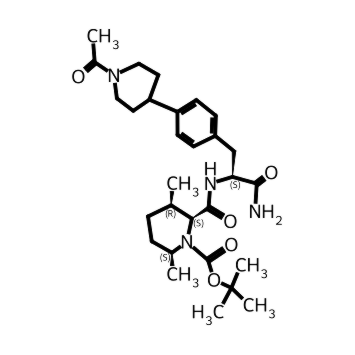 CC(=O)N1CCC(c2ccc(C[C@H](NC(=O)[C@@H]3[C@H](C)CC[C@H](C)N3C(=O)OC(C)(C)C)C(N)=O)cc2)CC1